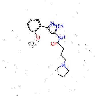 O=C(CCCN1CCCC1)Nc1cc(-c2ccccc2OC(F)(F)F)n[nH]1